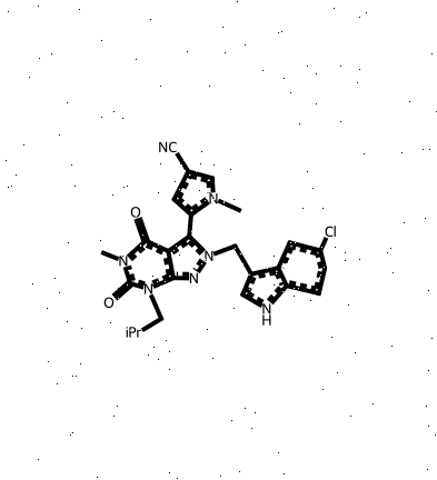 CC(C)Cn1c(=O)n(C)c(=O)c2c(-c3cc(C#N)cn3C)n(Cc3c[nH]c4ccc(Cl)cc34)nc21